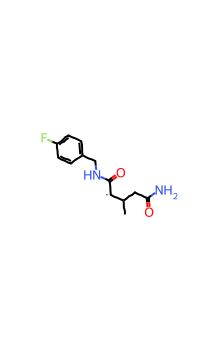 CC([CH]C(=O)NCc1ccc(F)cc1)CC(N)=O